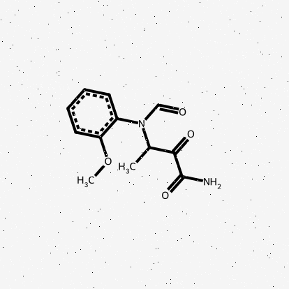 COc1ccccc1N(C=O)C(C)C(=O)C(N)=O